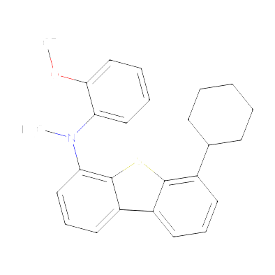 CN(c1ccccc1OC(F)(F)F)c1cccc2c1sc1c(C3CCCCC3)cccc12